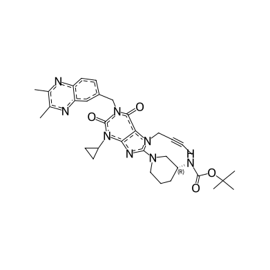 CC#CCn1c(N2CCC[C@@H](NC(=O)OC(C)(C)C)C2)nc2c1c(=O)n(Cc1ccc3nc(C)c(C)nc3c1)c(=O)n2C1CC1